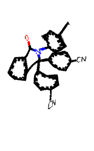 Cc1ccc(N2C(=O)c3ccccc3C2(c2ccc(C#N)cc2)c2ccc(C#N)cc2)cc1